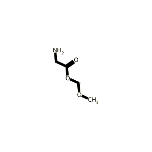 CO[C]OC(=O)CN